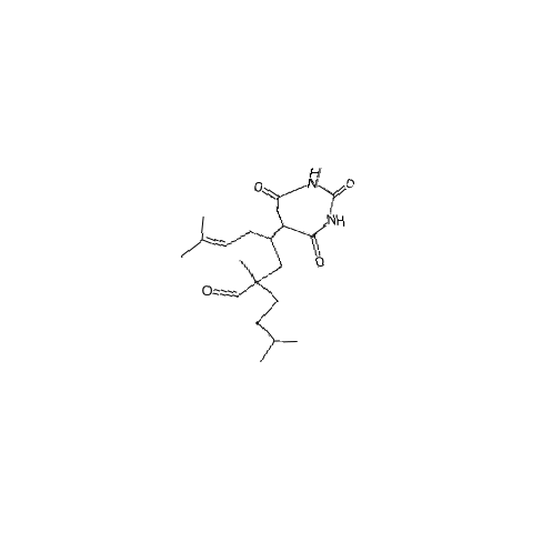 CC(C)=CCC(CC(C)(C=O)CCC(C)C)C1C(=O)NC(=O)NC1=O